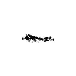 COc1cc2c(N[C@H](C)c3cccc(Br)c3)nc(C)nc2cc1OCCCCCCCN1CCC2(CC1)CCN(C(=O)O)CC2